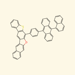 c1ccc2cc3c(cc2c1)oc1c(-c2ccc(-c4c5ccccc5c(-c5cccc6ccccc56)c5ccccc45)cc2)c2sc4ccccc4c2cc13